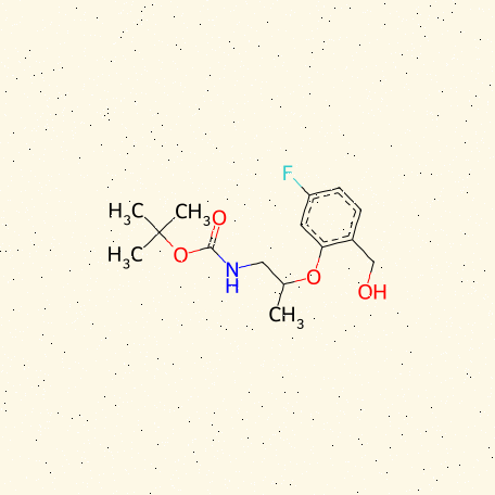 CC(CNC(=O)OC(C)(C)C)Oc1cc(F)ccc1CO